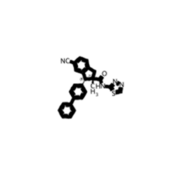 C[C@]1(C(=O)Nc2nncs2)Cc2ccc(C#N)cc2[C@H]1c1ccc(-c2ccccc2)cc1